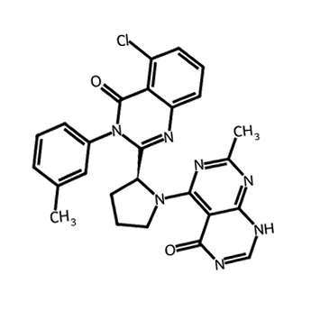 Cc1cccc(-n2c([C@@H]3CCCN3c3nc(C)nc4[nH]cnc(=O)c34)nc3cccc(Cl)c3c2=O)c1